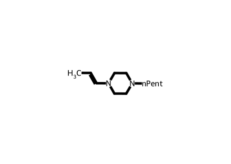 CC=CN1CCN(CCCCC)CC1